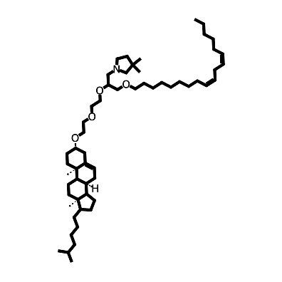 CCCCC/C=C\C/C=C\CCCCCCCCOCC(CN1CCC(C)(C)C1)OCCOCCO[C@H]1CC[C@@]2(C)C(=CC[C@H]3C4CCC(CCCCC(C)C)[C@@]4(C)CCC32)C1